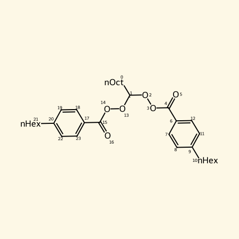 [CH2]CCCCCCC[C](OOC(=O)c1ccc(CCCCCC)cc1)OOC(=O)c1ccc(CCCCCC)cc1